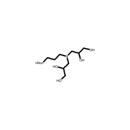 CCCCCCCCCCCCN(CC(O)CO)CC(O)CO